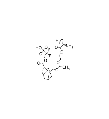 C=C(C)C(=O)OCCOC(C)OCC12CC3CC(C1)CC(C(=O)OCC(F)(F)S(=O)(=O)O)(C3)C2